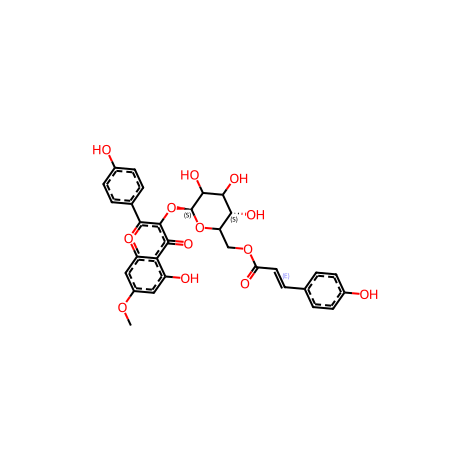 COc1cc(O)c2c(=O)c(O[C@@H]3OC(COC(=O)/C=C/c4ccc(O)cc4)[C@@H](O)C(O)C3O)c(-c3ccc(O)cc3)oc2c1